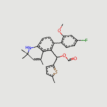 COc1cc(F)ccc1-c1ccc2c(c1C(OC=O)c1ccc(C)s1)C(C)=CC(C)(C)N2